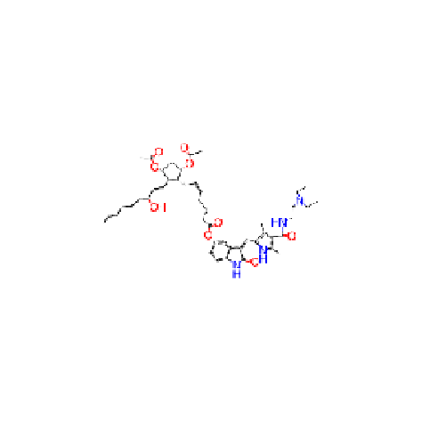 CCCCCC[C@H](O)/C=C/[C@@H]1[C@@H](C/C=C\CCCC(=O)Oc2ccc3c(c2)/C(=C/c2[nH]c(C)c(C(=O)NCCN(CC)CC)c2C)C(=O)N3)[C@@H](OC(C)=O)C[C@H]1OC(C)=O